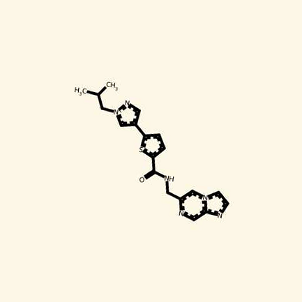 CC(C)Cn1cc(-c2ccc(C(=O)NCc3cn4ccnc4cn3)s2)cn1